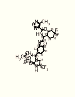 Cc1nonc1C(=O)N[C@H](c1nc2cc([C@@H](CO[Si](C)(C)C(C)(C)C)N3C[C@@H](C(F)(F)F)NC3=O)ccc2o1)C1CCC(F)(F)CC1